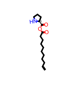 C=CCCCCCCCCC(=O)OC(=O)[C@@H]1CCCN1